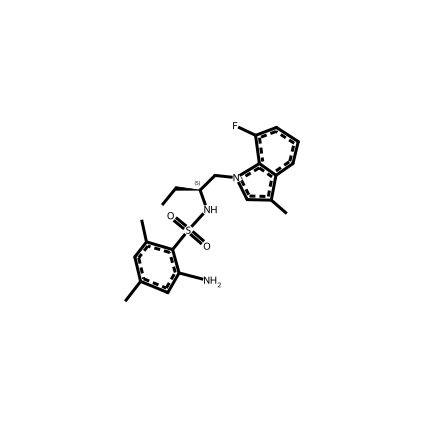 CC[C@@H](Cn1cc(C)c2cccc(F)c21)NS(=O)(=O)c1c(C)cc(C)cc1N